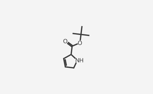 CC(C)(C)OC(=O)C1C=CCN1